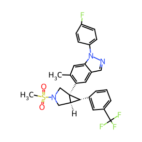 Cc1cc2c(cnn2-c2ccc(F)cc2)cc1[C@@]12CN(S(C)(=O)=O)C[C@@H]1[C@H]2c1cccc(C(F)(F)F)c1